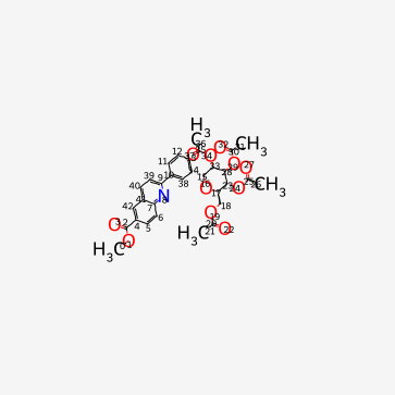 COC(=O)c1ccc2nc(-c3cccc([C@H]4O[C@H](COC(C)=O)[C@@H](OC(C)=O)[C@H](OC(C)=O)[C@@H]4OC(C)=O)c3)ccc2c1